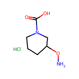 Cl.NOC1CCCN(C(=O)O)C1